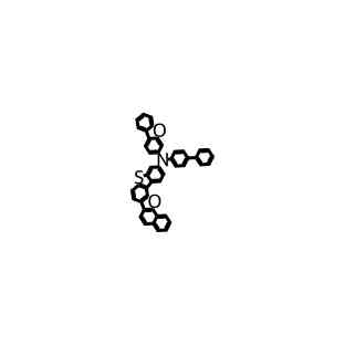 c1ccc(-c2ccc(N(c3ccc4c(c3)oc3ccccc34)c3ccc4c(c3)sc3ccc5c6ccc7ccccc7c6oc5c34)cc2)cc1